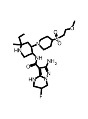 CCC1(C)CC(N2CCC(S(=O)(=O)CCOC)CC2)C(NC(=O)c2c(N)nn3c2NCC(F)C3)CN1